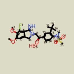 Br.COc1cc2c(c(F)c1OC)C(=N)N(CC(=O)c1ccc(N(C)S(C)(=O)=O)c(C(C)(C)C)c1)C2